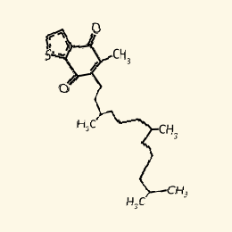 CC1=C(CCC(C)CCCC(C)CCCC(C)C)C(=O)c2sccc2C1=O